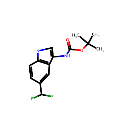 CC(C)(C)OC(=O)Nc1c[nH]c2ccc(C(F)F)cc12